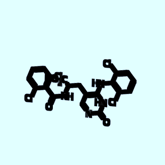 O=C(NC(Cc1cnc(=O)[nH]c1Nc1c(Cl)cccc1Cl)C(=O)O)c1c(Cl)cccc1Cl